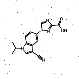 CC(C)n1cc(C#N)c2cc(-n3cnc(C(=O)O)n3)ccc21